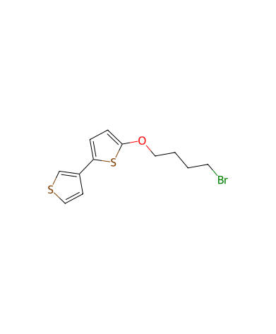 BrCCCCOc1ccc(-c2ccsc2)s1